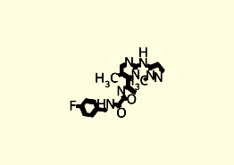 Cc1cnc(Nc2ccnn2C)nc1-c1coc(C(=O)NCc2ccc(F)cc2)n1